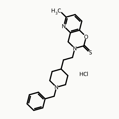 Cc1ccc2c(n1)CN(CCC1CCN(Cc3ccccc3)CC1)C(=S)O2.Cl